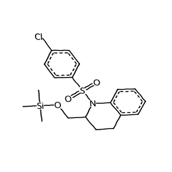 C[Si](C)(C)OCC1CCc2ccccc2N1S(=O)(=O)c1ccc(Cl)cc1